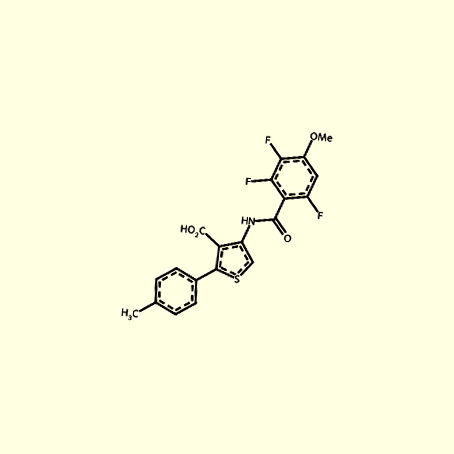 COc1cc(F)c(C(=O)Nc2csc(-c3ccc(C)cc3)c2C(=O)O)c(F)c1F